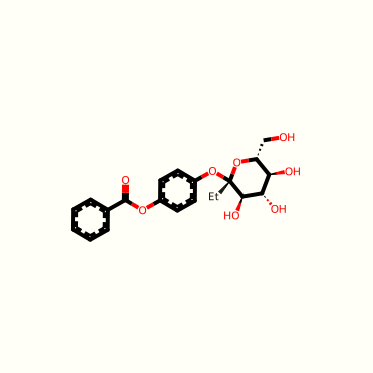 CC[C@@]1(Oc2ccc(OC(=O)c3ccccc3)cc2)O[C@H](CO)[C@@H](O)[C@H](O)[C@H]1O